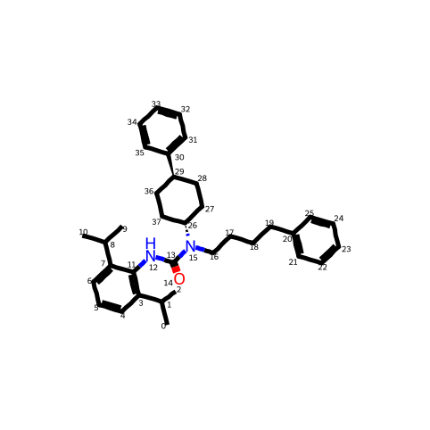 CC(C)c1cccc(C(C)C)c1NC(=O)N(CCCCc1ccccc1)[C@H]1CC[C@H](c2ccccc2)CC1